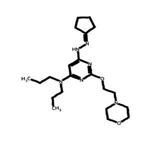 CCCN(CCC)c1cc(NN=C2CCCC2)nc(OCCN2CCOCC2)n1